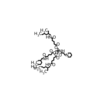 CCCCC(CC)CNC(=O)CCCC(=O)OCC(COC(=O)CCCC(=O)NCC(CC)CCCC)(COC(=O)CCCC(=O)NCC(CC)CCCC)NC(=O)CCN1CCCCC1